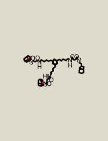 CN(CCC1CC2CCCC(C2)C1)C(=O)CC(=O)NCCCCCc1cc(CCCCCNC(=O)CC(=O)N(C)C23CC4CC(CC(C4)C2)C3)cc(CCCCCNC(=O)CC(=O)N(C)C23CC4CC(CC(C4)C2)C3)c1